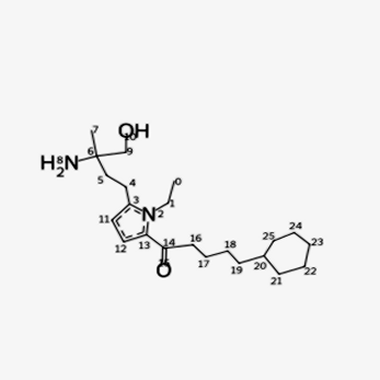 CCn1c(CCC(C)(N)CO)ccc1C(=O)CCCCC1CCCCC1